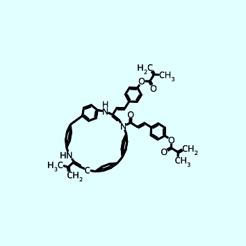 C=C(C)C(=O)Oc1ccc(/C=C/C(=O)N2/C=C(/C=C/c3ccc(OC(=O)C(=C)C)cc3)Nc3ccc(cc3)-c3ccc(cc3)N/C(C(=C)C)=C\Cc3ccc(cc3)-c3ccc2cc3)cc1